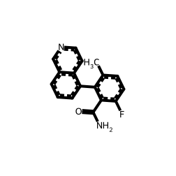 Cc1ccc(F)c(C(N)=O)c1-c1cccc2cnccc12